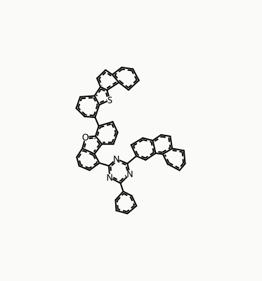 c1ccc(-c2nc(-c3ccc4ccc5ccccc5c4c3)nc(-c3cccc4oc5c(-c6cccc7c6sc6c8ccccc8ccc76)cccc5c34)n2)cc1